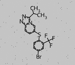 CC(C)c1nnc2ccc(Sc3ccc(Br)cc3C(F)(F)F)cn12